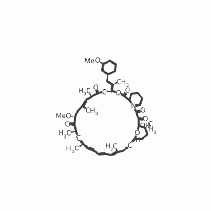 CO[C@H]1CCC[C@@H](C[C@@H](C)[C@@H]2CC(=O)[C@H](C)/C=C(\C)C[C@@H](OC)C(=O)[C@H](C)C[C@H](C)/C=C/C=C/C=C(\C)CC[C@@H]3CC[C@@H](C)[C@@](O)(O3)C(=O)C(=O)N3CCCCC3C(=O)O2)C1